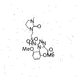 COc1cccc(OC)c1-n1c(NS(=O)(=O)CCN2C(=O)N(C)CC[C@H]2C)nnc1-c1ccco1